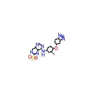 Cc1cc(Nc2ncnc3cnc(S(C)(=O)=O)nc23)ccc1Oc1ccc2c(c1)nnn2C